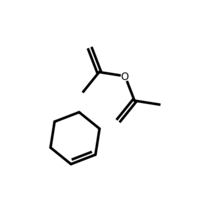 C1=CCCCC1.C=C(C)OC(=C)C